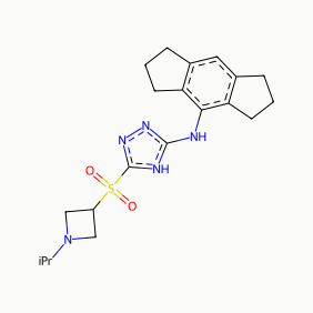 CC(C)N1CC(S(=O)(=O)c2nnc(Nc3c4c(cc5c3CCC5)CCC4)[nH]2)C1